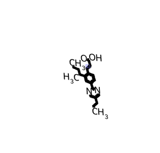 CCCc1cnc(-c2ccc(/C=C/C(=O)O)c(C(C)CCC)c2)nc1